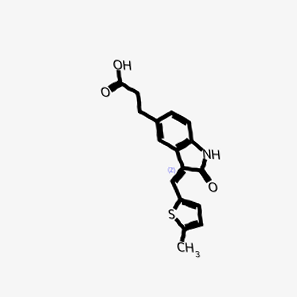 Cc1ccc(/C=C2\C(=O)Nc3ccc(CCC(=O)O)cc32)s1